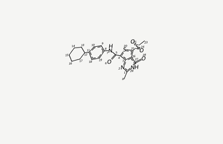 Cc1nc2c(C(=O)Nc3ccc(C4CCCCC4)cc3)sc(S(C)(=O)=O)c2c(=O)[nH]1